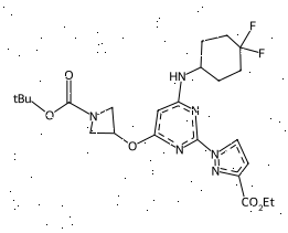 CCOC(=O)c1ccn(-c2nc(NC3CCC(F)(F)CC3)cc(OC3CN(C(=O)OC(C)(C)C)C3)n2)n1